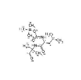 CC(C)C[C@H](NC(=O)OC(C)(C)C)C(=O)NC(C)(C)C=O